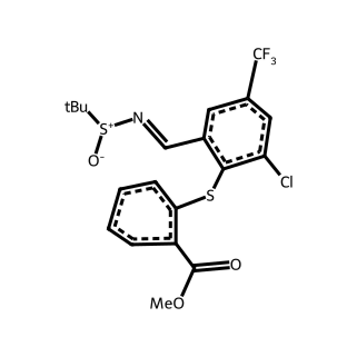 COC(=O)c1ccccc1Sc1c(Cl)cc(C(F)(F)F)cc1/C=N/[S+]([O-])C(C)(C)C